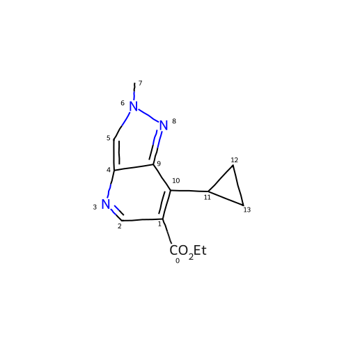 CCOC(=O)c1cnc2cn(C)nc2c1C1CC1